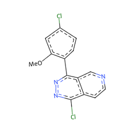 COc1cc(Cl)ccc1-c1nnc(Cl)c2ccncc12